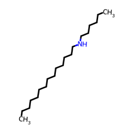 CCCCCCCCCCCCCCNCCCCCC